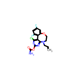 C=CCN1CCOc2cc(F)cc(F)c2-c2c(Cl)nc(OC(N)=O)nc21